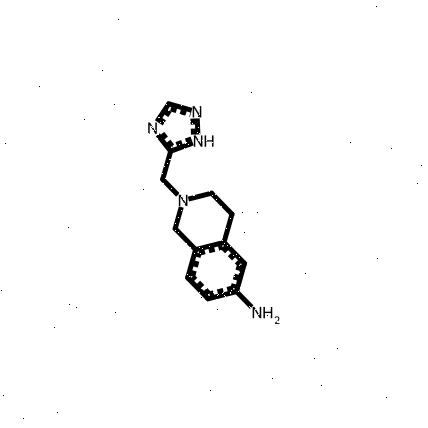 Nc1ccc2c(c1)CCN(Cc1ncn[nH]1)C2